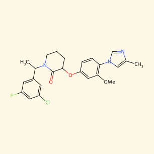 COc1cc(OC2CCCN(C(C)c3cc(F)cc(Cl)c3)C2=O)ccc1-n1cnc(C)c1